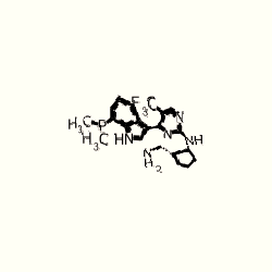 CP(C)c1cccc2c(-c3nc(N[C@@H]4CCC[C@@H]4CN)ncc3C(F)(F)F)c[nH]c12